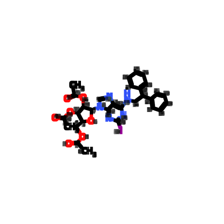 CC(=O)OC[C@@H]1O[C@@H](n2cnc3c(NCC(c4ccccc4)c4ccccc4)nc(I)nc32)[C@H](OC(C)=O)[C@@H]1OC(C)=O